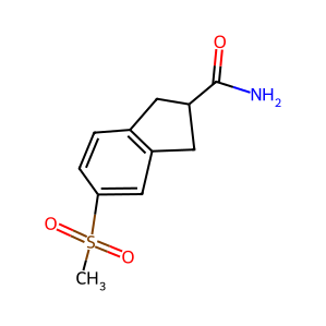 CS(=O)(=O)c1ccc2c(c1)CC(C(N)=O)C2